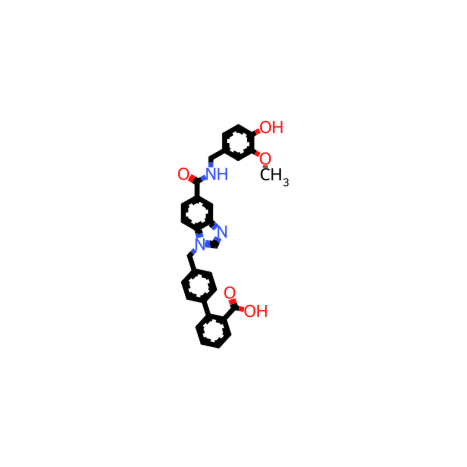 COc1cc(CNC(=O)c2ccc3c(c2)ncn3Cc2ccc(-c3ccccc3C(=O)O)cc2)ccc1O